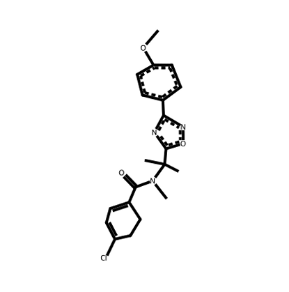 COc1ccc(-c2noc(C(C)(C)N(C)C(=O)C3=CC=C(Cl)CC3)n2)cc1